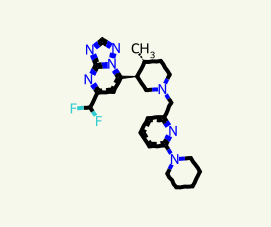 C[C@@H]1CCN(Cc2cccc(N3CCCCC3)n2)C[C@H]1c1cc(C(F)F)nc2ncnn12